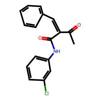 CC(=O)C(=Cc1ccccc1)C(=O)Nc1cccc(Cl)c1